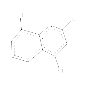 Cc1cc(Cl)nc2c(C)cccc12